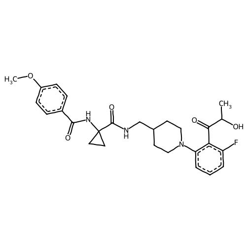 COc1ccc(C(=O)NC2(C(=O)NCC3CCN(c4cccc(F)c4C(=O)C(C)O)CC3)CC2)cc1